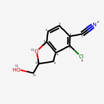 N#Cc1ccc2c(c1Cl)CC(CO)O2